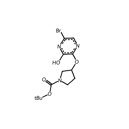 CC(C)(C)OC(=O)N1CCC(Oc2ncc(Br)nc2O)C1